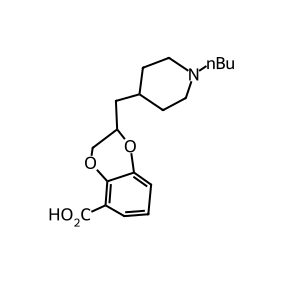 CCCCN1CCC(CC2COc3c(cccc3C(=O)O)O2)CC1